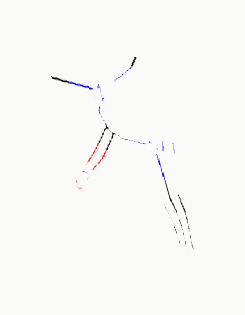 C#CNC(=O)N(C)C